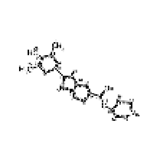 Cc1cc(-c2nc3ccc(C(=O)Oc4ccncn4)cc3s2)cc(C)c1O